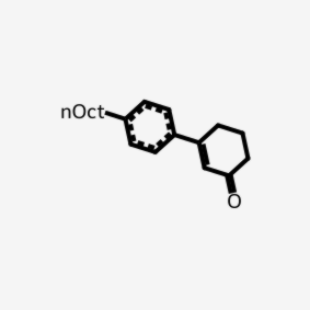 CCCCCCCCc1ccc(C2=CC(=O)CCC2)cc1